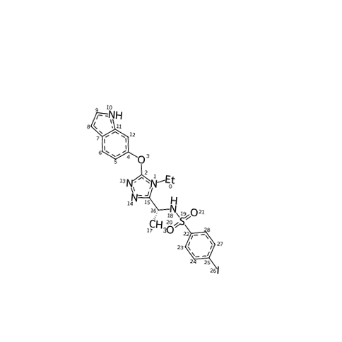 CCn1c(Oc2ccc3cc[nH]c3c2)nnc1[C@@H](C)NS(=O)(=O)c1ccc(I)cc1